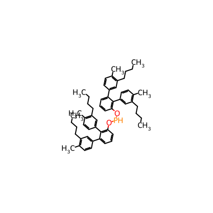 CCCCc1cc(-c2cccc(OPOc3cccc(-c4ccc(C)c(CCCC)c4)c3-c3ccc(C)c(CCCC)c3)c2-c2ccc(C)c(CCCC)c2)ccc1C